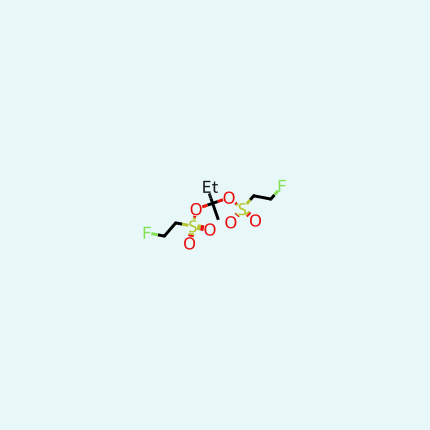 CCC(C)(OS(=O)(=O)CCF)OS(=O)(=O)CCF